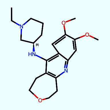 CCN1CCC[C@@H](Nc2c3c(nc4cc(OC)c(OC)cc24)CCOCC3)C1